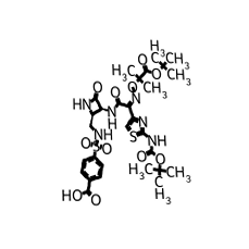 CC(C)(C)OC(=O)Nc1nc(/C(=N/OC(C)(C)C(=O)OC(C)(C)C)C(=O)N[C@@H]2C(=O)N[C@@H]2CNS(=O)(=O)c2ccc(C(=O)O)cc2)cs1